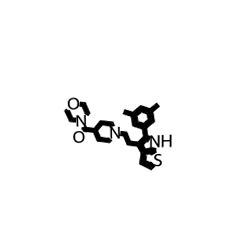 Cc1cc(C)cc(-c2[nH]c3sccc3c2CCN2CCC(C(=O)N3CCOCC3)CC2)c1